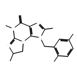 CCN1C(=O)c2nc(Br)n(Cc3cc(F)ccc3F)c2N2CC(C(C)C)N=C12